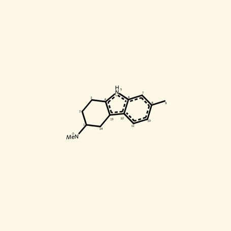 CNC1CCc2[nH]c3cc(C)ccc3c2C1